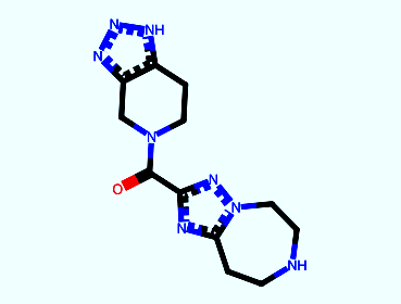 O=C(c1nc2n(n1)CCNCC2)N1CCc2[nH]nnc2C1